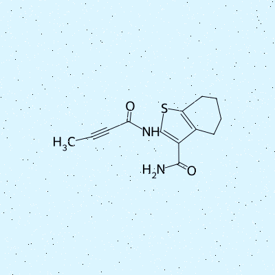 CC#CC(=O)Nc1sc2c(c1C(N)=O)CCCC2